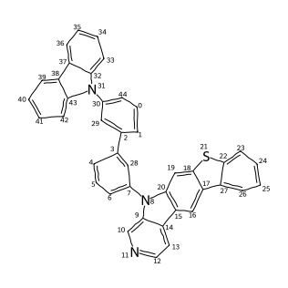 c1cc(-c2cccc(-n3c4cnccc4c4cc5c(cc43)sc3ccccc35)c2)cc(-n2c3ccccc3c3ccccc32)c1